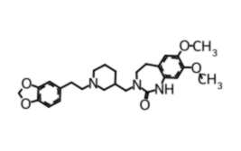 COc1cc2c(cc1OC)NC(=O)N(CC1CCCN(CCc3ccc4c(c3)OCO4)C1)CC2